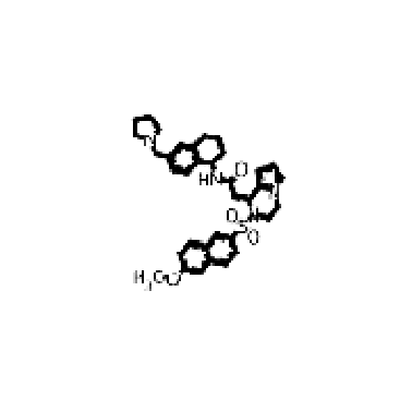 COc1ccc2cc(S(=O)(=O)N3CCn4cccc4C3CC(=O)NC3CCCc4cc(CN5CCCC5)ccc43)ccc2c1